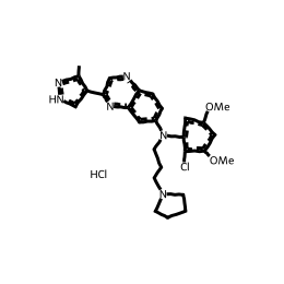 COc1cc(OC)c(Cl)c(N(CCCN2CCCC2)c2ccc3ncc(-c4c[nH]nc4C)nc3c2)c1.Cl